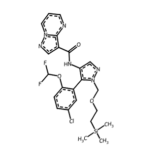 C[Si](C)(C)CCOCn1ncc(NC(=O)c2cnn3cccnc23)c1-c1cc(Cl)ccc1OC(F)F